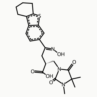 CN1C(=O)N(C[C@@H](CC(=NO)c2ccc3c4c(sc3c2)CCCC4)C(=O)O)C(=O)C1(C)C